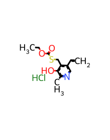 C=Cc1cnc(C)c(O)c1CSC(=O)OCC.Cl